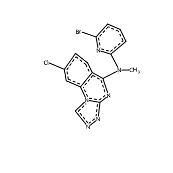 CN(c1cccc(Br)n1)c1nc2nncn2c2cc(Cl)ccc12